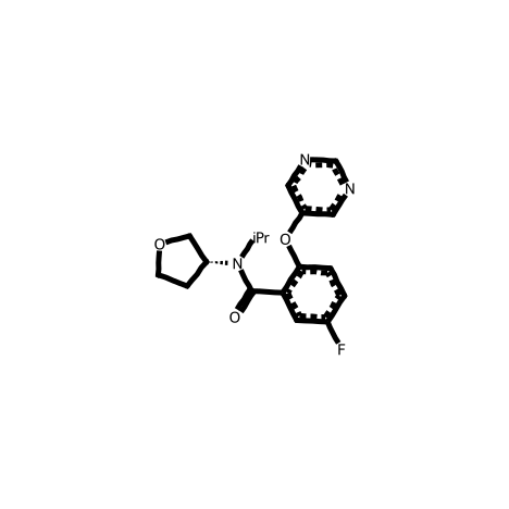 CC(C)N(C(=O)c1cc(F)ccc1Oc1cncnc1)[C@@H]1CCOC1